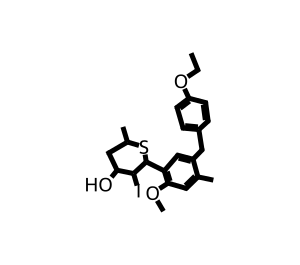 CCOc1ccc(Cc2cc(C3SC(C)CC(O)C3I)c(OC)cc2C)cc1